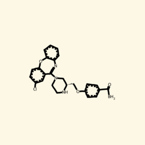 BC(=O)c1ccc(OC[C@H]2CN(C3=Nc4ccccc4Oc4ccc(Cl)cc43)CCN2)cc1